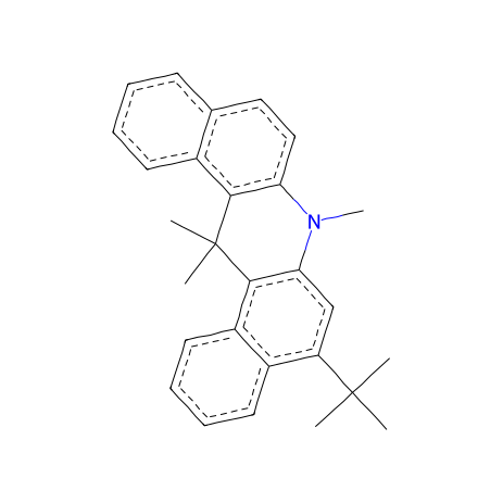 CN1c2ccc3ccccc3c2C(C)(C)c2c1cc(C(C)(C)C)c1ccccc21